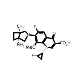 COc1c(N2C[C@]3(C)CC[C@]3(N)C2)c(F)cc2c(=O)c(C(=O)O)cn([C@@H]3C[C@@H]3F)c12